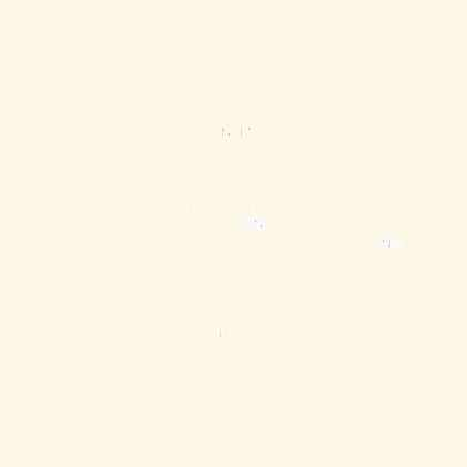 CC(=O)NC(Cc1cc(F)cc(F)c1)C(O)CNCc1cc(CC(C)(C)C)ccc1-c1ccc[nH]1